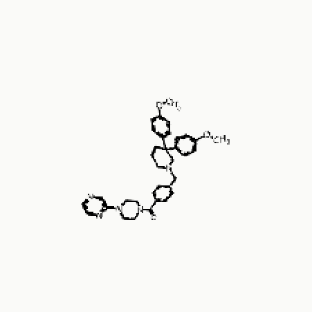 COc1ccc(C2(c3ccc(OC)cc3)CCCN(Cc3ccc(C(=O)N4CCN(c5cnccn5)CC4)cc3)C2)cc1